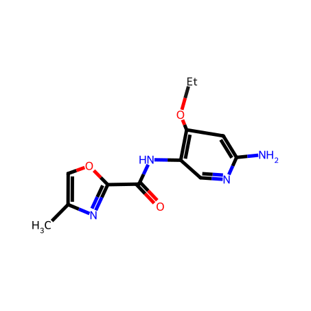 CCOc1cc(N)ncc1NC(=O)c1nc(C)co1